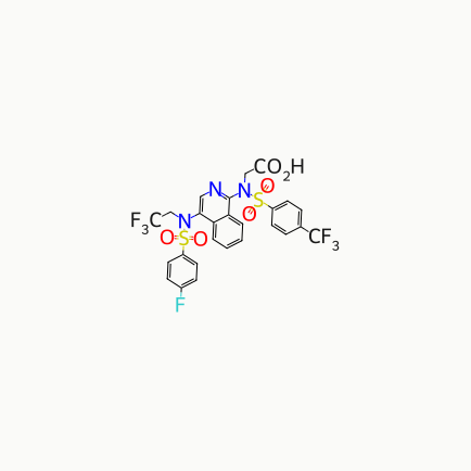 O=C(O)CN(c1ncc(N(CC(F)(F)F)S(=O)(=O)c2ccc(F)cc2)c2ccccc12)S(=O)(=O)c1ccc(C(F)(F)F)cc1